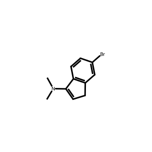 CN(C)C1=CCc2cc(Br)ccc21